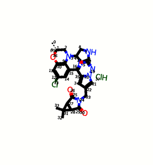 C[C@@H]1CN(C2CCNC2)c2c(cc(Cl)cc2-c2ncnn3cc(CN4C(=O)C5C(C4=O)C5(C)C)cc23)O1.Cl